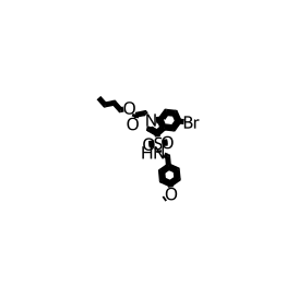 CCCCOC(=O)Cn1cc(S(=O)(=O)NCc2ccc(OC)cc2)c2cc(Br)ccc21